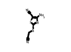 N#CCSc1nc(N)c(C#N)s1